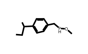 CCC(C)c1ccc(CPOC)cc1